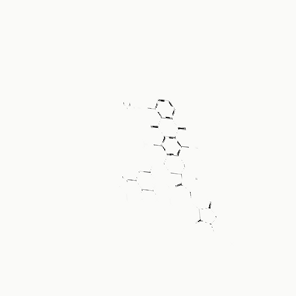 COc1cccc2c1C(=O)c1c(O)c3c(c(O)c1C2=O)C[C@@](O)(C(=O)COC1C(=O)CC(C)C1=O)C[C@@H]3OC1CC(N)C(O)C(C)O1